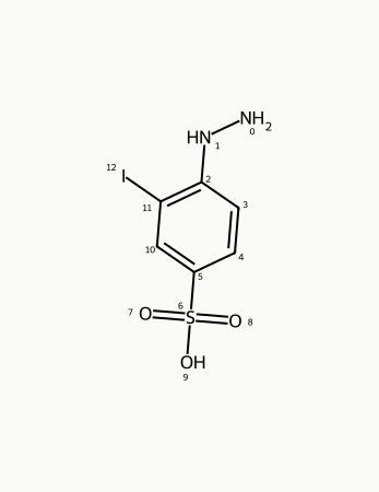 NNc1ccc(S(=O)(=O)O)cc1I